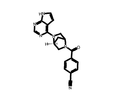 N#Cc1ccc(C(=O)N2C[C@@H]3CC2CN3c2ncnc3[nH]ccc23)cc1